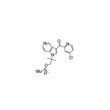 C[SiH](OCC(C)(C)n1cc(C(=O)c2cc(Cl)ccn2)c2cnccc21)C(C)(C)C